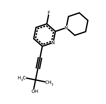 CC(C)(O)C#Cc1ccc(F)c(N2CCCCC2)n1